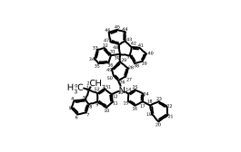 CC1(C)c2ccccc2-c2ccc(N(c3ccc(-c4ccccc4)cc3)c3ccc(C4(c5ccccc5)c5ccccc5-c5ccccc54)cc3)cc21